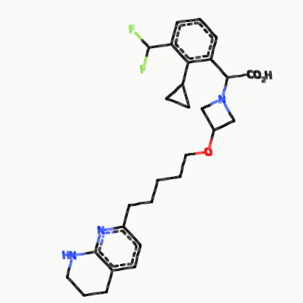 O=C(O)C(c1cccc(C(F)F)c1C1CC1)N1CC(OCCCCCc2ccc3c(n2)NCCC3)C1